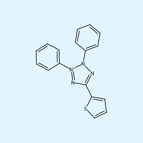 c1ccc(-n2nc(-c3cccs3)n[n+]2-c2ccccc2)cc1